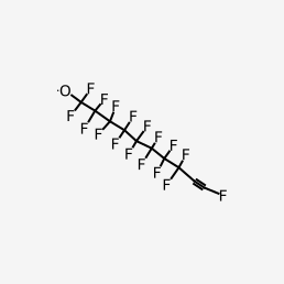 [O]C(F)(F)C(F)(F)C(F)(F)C(F)(F)C(F)(F)C(F)(F)C(F)(F)C(F)(F)C#CF